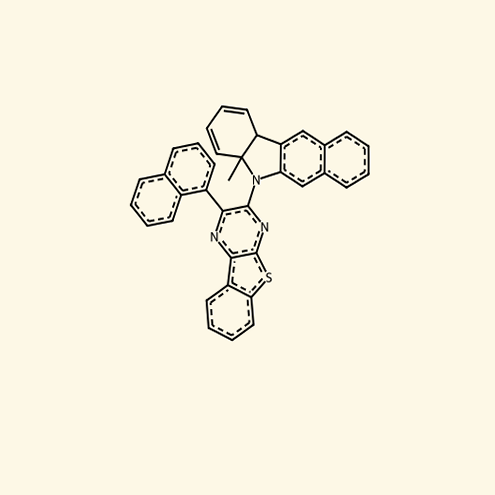 CC12C=CC=CC1c1cc3ccccc3cc1N2c1nc2sc3ccccc3c2nc1-c1cccc2ccccc12